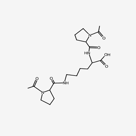 CC(=O)N1CCCC1C(=O)NCCCCC(NC(=O)C1CCCN1C(C)=O)C(=O)O